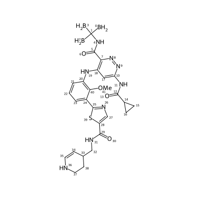 BC(B)(B)NC(=O)c1nnc(NC(=O)C2CC2)cc1Nc1cccc(-c2ncc(C(=O)NCC3C=CNCC3)s2)c1OC